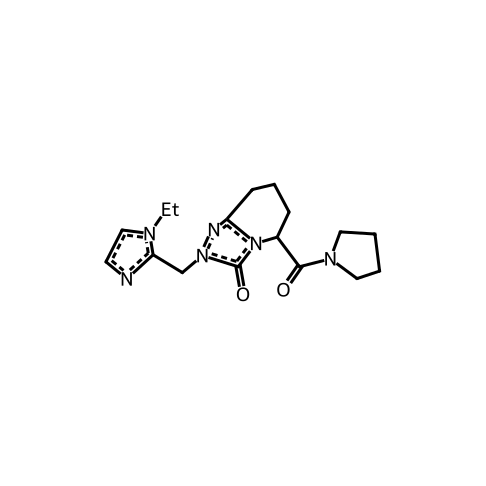 CCn1ccnc1Cn1nc2n(c1=O)C(C(=O)N1CCCC1)CCC2